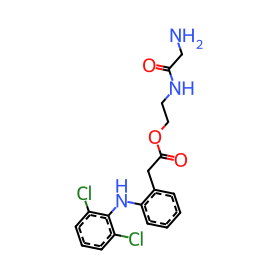 NCC(=O)NCCOC(=O)Cc1ccccc1Nc1c(Cl)cccc1Cl